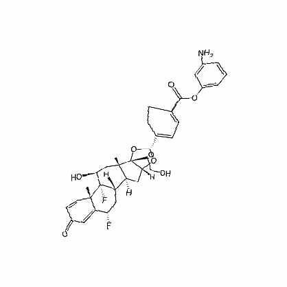 C[C@]12C=CC(=O)C=C1[C@@H](F)C[C@H]1[C@@H]3C[C@H]4O[C@@H](C5=CC=C(C(=O)Oc6cccc(N)c6)CC5)O[C@@]4(C(=O)CO)[C@@]3(C)C[C@H](O)[C@@]12F